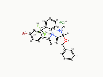 CN(C)C(C)(OCc1ccccc1)c1ccc(-c2ccc(Br)cc2)n1-c1ccccc1C(F)(F)F.Cl